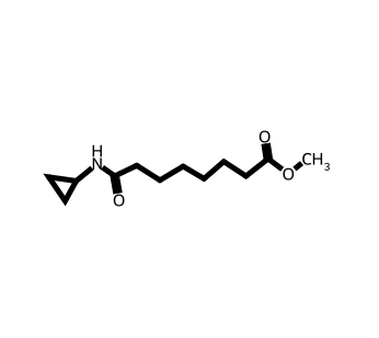 COC(=O)CCCCCCC(=O)NC1CC1